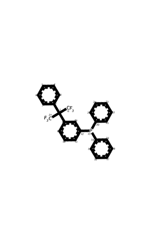 FC(F)(F)C(c1ccccc1)(c1cccc(P(c2ccccc2)c2ccccc2)c1)C(F)(F)F